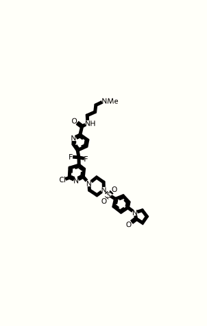 CNCCCNC(=O)c1ccc(C(F)(F)c2cc(Cl)nc(N3CCN(S(=O)(=O)c4ccc(N5CCCC5=O)cc4)CC3)c2)cn1